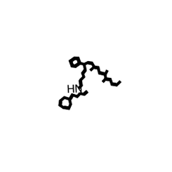 C=CC(CC=C1CC=CC=CC1)N/C=C/CC=CC(\C=C/C(C)=C/C=C(C)/C(C)=C/C=C\C)c1ccccc1